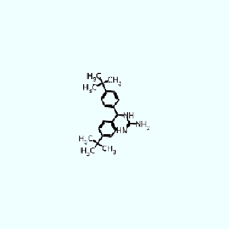 CC(C)(C)c1ccc(C(NC(=N)N)c2ccc(C(C)(C)C)cc2)cc1